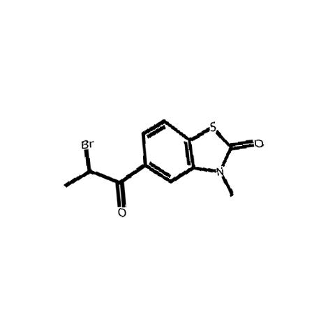 CC(Br)C(=O)c1ccc2sc(=O)n(C)c2c1